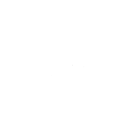 O=C(O)C(=O)CCC=Cc1ccccc1